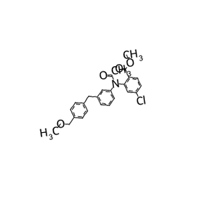 COCc1ccc(Cc2cccc(N(C(C)=O)c3cc(Cl)ccc3C(=O)OC)c2)cc1